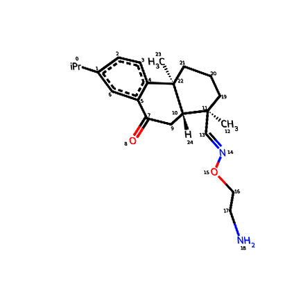 CC(C)c1ccc2c(c1)C(=O)C[C@H]1[C@](C)(/C=N/OCCN)CCC[C@]21C